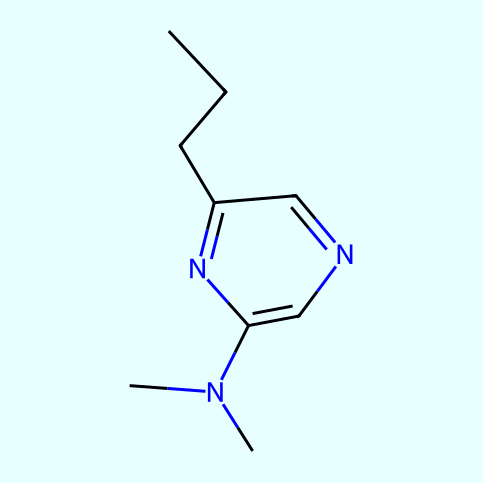 CCCc1cncc(N(C)C)n1